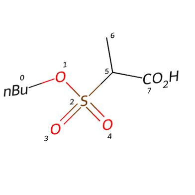 CCCCOS(=O)(=O)C(C)C(=O)O